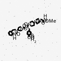 Bc1cc(C[C@@H](OC(=O)N2CCC(N3CCc4ccccc4NC3=O)CC2)C(=O)N2CCC(N3CCN(CC(=O)NOC)CC3)CC2)ccc1O